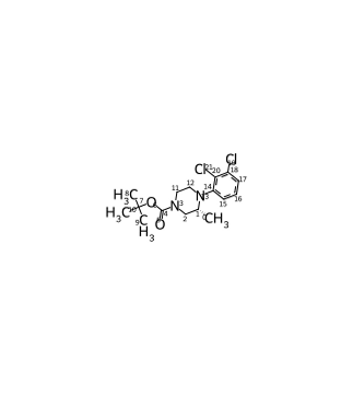 C[C@@H]1CN(C(=O)OC(C)(C)C)CCN1c1cccc(Cl)c1Cl